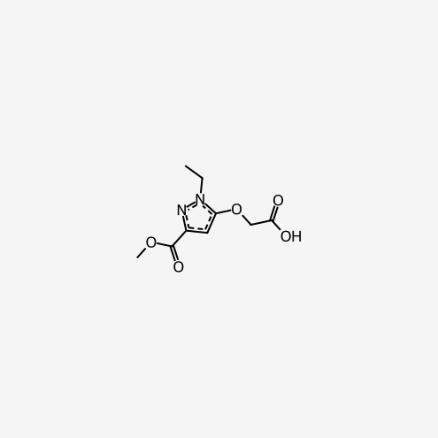 CCn1nc(C(=O)OC)cc1OCC(=O)O